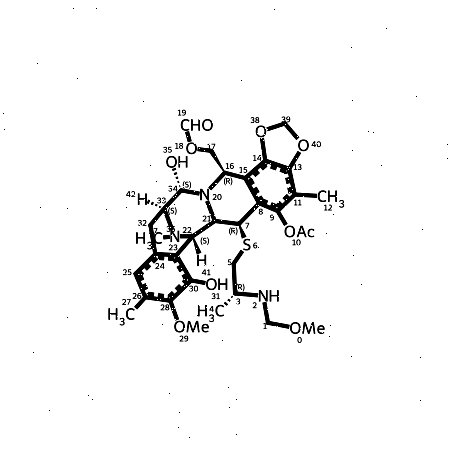 COCN[C@H](C)CS[C@@H]1c2c(OC(C)=O)c(C)c3c(c2[C@H](COC=O)N2C1[C@@H]1c4c(cc(C)c(OC)c4O)C[C@@H]([C@@H]2O)N1C)OCO3